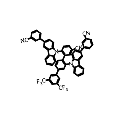 N#Cc1cccc(-c2ccc3c(c2)c2ccccc2n3-c2ccc(C#N)cc2-c2ccc(-c3cc(C(F)(F)F)cc(C(F)(F)F)c3)cc2-n2c3ccccc3c3cc(-c4cccc(C#N)c4)ccc32)c1